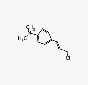 CN(C)c1ccc(C=CCCl)cc1